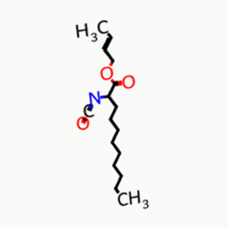 CC=CCOC(=O)C(CCCCCCCCC)N=C=O